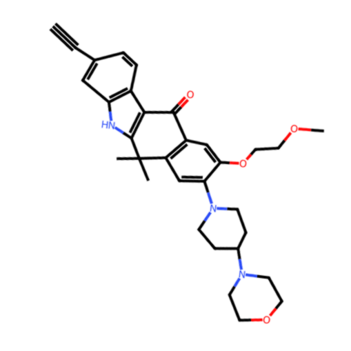 C#Cc1ccc2c3c([nH]c2c1)C(C)(C)c1cc(N2CCC(N4CCOCC4)CC2)c(OCCOC)cc1C3=O